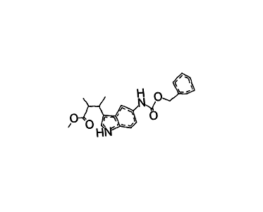 COC(=O)C(C)C(C)c1c[nH]c2ccc(NC(=O)OCc3ccccc3)cc12